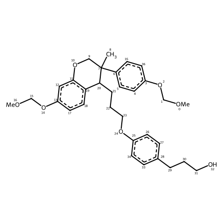 COCOc1ccc(C2(C)COc3cc(OCOC)ccc3C2CCCOc2ccc(CCCO)cc2)cc1